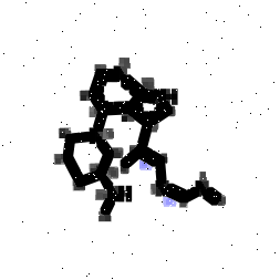 C=N/C=N\C=C(/C)c1c[nH]c2nccc(N3CCC[C@H](NC)C3)c12